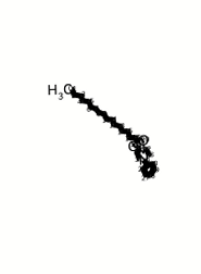 CCCCCCCCCCCCCCCCCCS(=O)(=O)N1CCN(c2ccccc2)CC1